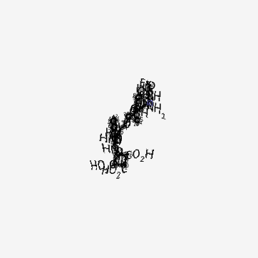 CCC(=O)NCCNC(=O)/N=C(/N)NCCC[C@@H](NC(=O)C(c1ccccc1)c1cccc(OCCCCNC(=O)[C@@H](Cc2ccc3ccccc3c2)NC(=O)CCNC(=O)CN2CCN(CC(=O)O)CCN(CC(=O)O)CCN(CC(=O)O)CC2)c1)C(=O)NCc1ccc(O)cc1